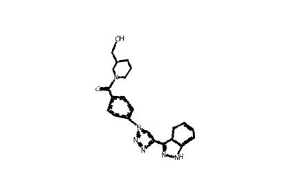 O=C(c1ccc(-n2cc(C3=NNC4=CC=CCC43)nn2)cc1)N1CCCC(CO)C1